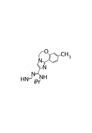 Cc1ccc2c(c1)OCCn1cc(/C(=N/C=N)NC(C)C)nc1-2